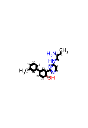 CC[C@@H](N)CNc1ccnc(-c2cc(-c3cccc(C)c3)ccc2O)n1